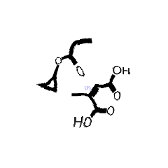 C/C(=C/C(=O)O)C(=O)O.C=CC(=O)OC1CC1